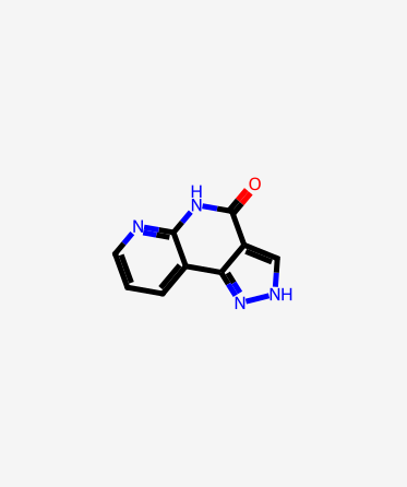 O=c1[nH]c2ncccc2c2n[nH]cc12